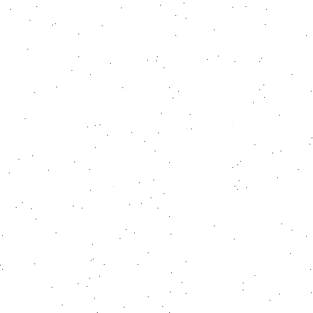 Cc1ccc(N(c2ccc(-c3c4ccccc4c(N(c4ccc5c(c4)C(C)(C)c4ccccc4-5)c4cccc5ccccc45)c4ccccc34)cc2)c2cccc3ccccc23)cc1